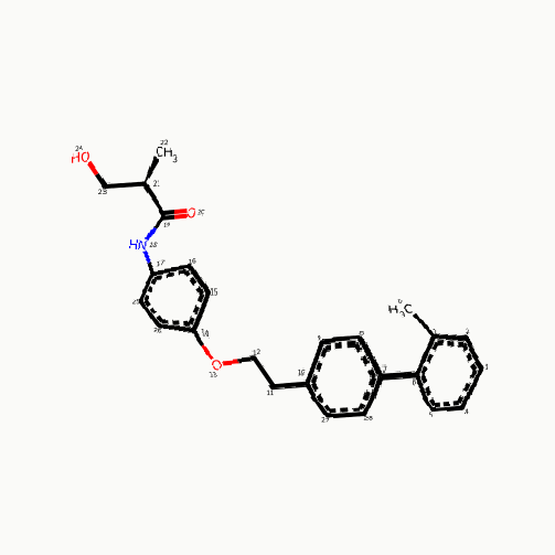 Cc1ccccc1-c1ccc(CCOc2ccc(NC(=O)[C@H](C)CO)cc2)cc1